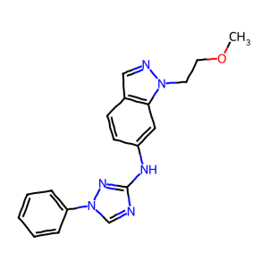 COCCn1ncc2ccc(Nc3ncn(-c4ccccc4)n3)cc21